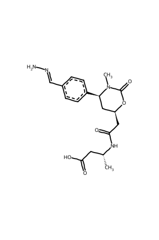 C[C@H](CC(=O)O)NC(=O)C[C@H]1C[C@@H](c2ccc(C=NN)cc2)N(C)C(=O)O1